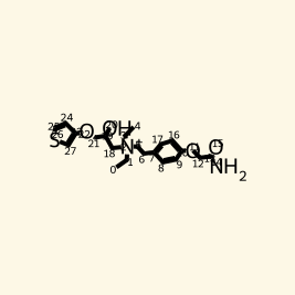 CC[N+](CC)(CCc1ccc(OCC(N)=O)cc1)CC(O)COc1ccsc1